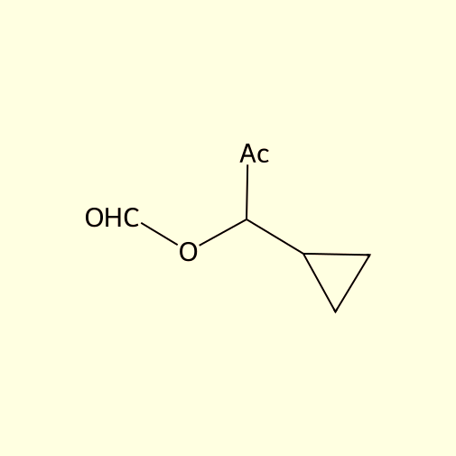 CC(=O)C(OC=O)C1CC1